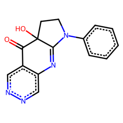 O=C1c2cnncc2N=C2N(c3ccccc3)CCC12O